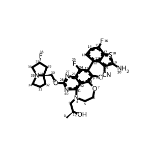 C[C@H](O)CN1CCOc2c(Cl)c(-c3ccc(F)c4sc(N)c(C#N)c34)c(F)c3nc(OC[C@@]45CCCN4C[C@H](F)C5)nc1c23